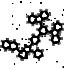 c1ccc(-n2c(-c3ccc(-c4cc(-n5c6ccccc6c6ccccc65)cc(-n5c6ccccc6c6ccccc65)c4)cc3)nc3c(-c4ccc5ccccc5c4)ccnc32)cc1